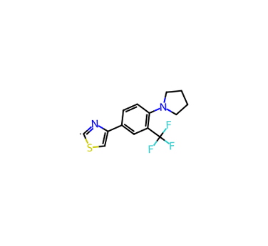 FC(F)(F)c1cc(-c2cs[c]n2)ccc1N1CCCC1